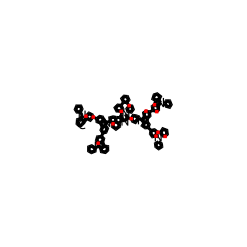 c1ccc(-c2ccccc2-c2cccc(-c3nc(-c4ccc(-n5c6ccc(-c7ccc8c(c7)c7ccccc7n8-c7ccccc7)cc6c6cc(-c7ccc8c(c7)c7ccccc7n8-c7ccccc7)ccc65)cc4)nc4c3-c3ccc(-n5c6ccc(-c7ccc8c(c7)c7ccccc7n8-c7ccccc7)cc6c6cc(-c7ccc8c(c7)c7ccccc7n8-c7ccccc7)ccc65)c5cccc-4c35)c2)cc1